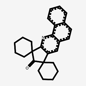 O=C1C2(CCCCC2)c2cc3ccc4ccccc4c3nc2C12CCCCC2